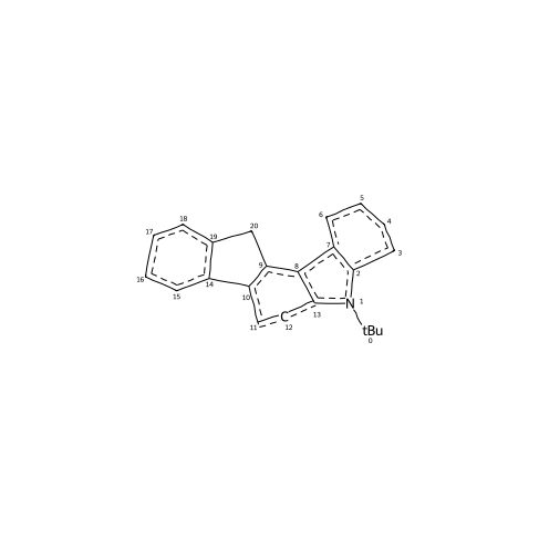 CC(C)(C)n1c2ccccc2c2c3c(ccc21)-c1ccccc1C3